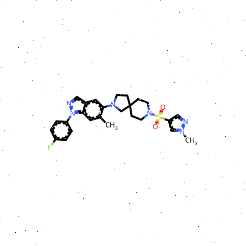 Cc1cc2c(cnn2-c2ccc(F)cc2)cc1N1CCC2(CCN(S(=O)(=O)c3cnn(C)c3)CC2)C1